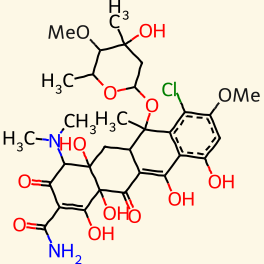 COc1cc(O)c2c(c1Cl)C(C)(OC1CC(C)(O)C(OC)C(C)O1)C1CC3(O)C(N(C)C)C(=O)C(C(N)=O)=C(O)C3(O)C(=O)C1=C2O